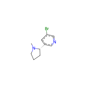 CN1CCC[C@H]1c1cncc(Br)c1